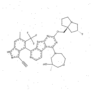 C#Cc1n[nH]c2cc(C)c(C(F)(F)F)c(-c3nccc4c3sc3nc(OC[C@@]56CCCN5C[C@H](F)C6)nc(N5CCOC[C@@](C)(O)C5)c34)c12